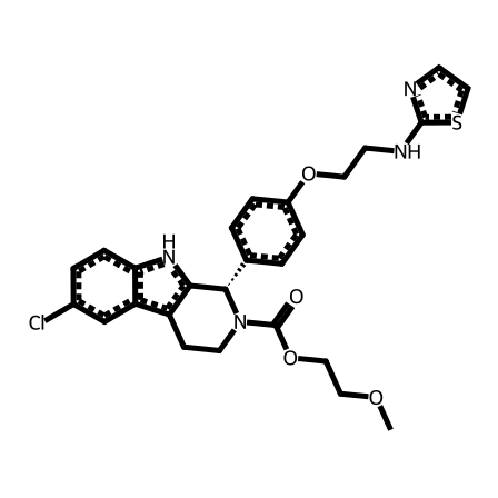 COCCOC(=O)N1CCc2c([nH]c3ccc(Cl)cc23)[C@@H]1c1ccc(OCCNc2nccs2)cc1